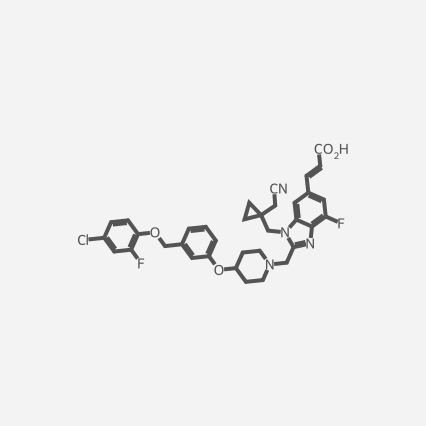 N#CCC1(Cn2c(CN3CCC(Oc4cccc(COc5ccc(Cl)cc5F)c4)CC3)nc3c(F)cc(/C=C/C(=O)O)cc32)CC1